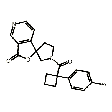 O=C1OC2(CCN(C(=O)C3(c4ccc(Br)cc4)CCC3)C2)c2ccncc21